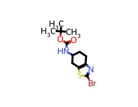 CC(C)(C)OC(=O)NC1CCc2nc(Br)sc2C1